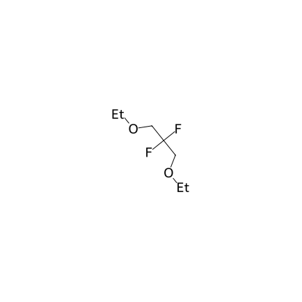 CCOCC(F)(F)COCC